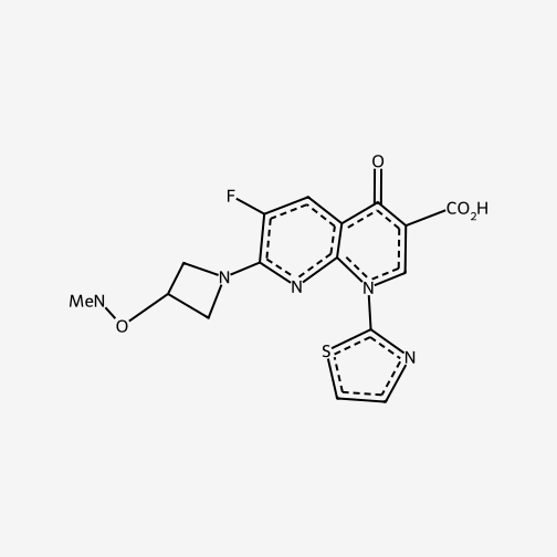 CNOC1CN(c2nc3c(cc2F)c(=O)c(C(=O)O)cn3-c2nccs2)C1